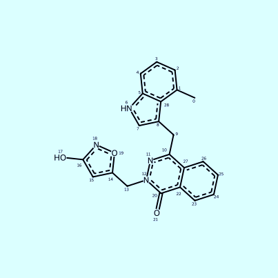 Cc1cccc2[nH]cc(Cc3nn(Cc4cc(O)no4)c(=O)c4ccccc34)c12